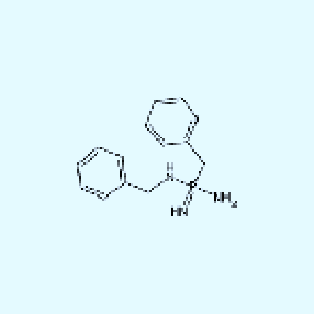 N=P(N)(Cc1ccccc1)NCc1ccccc1